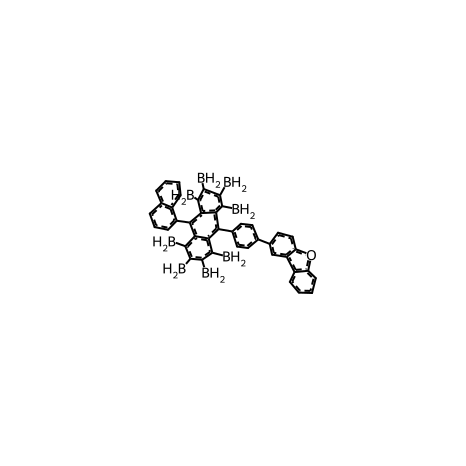 Bc1c(B)c(B)c2c(-c3cccc4ccccc34)c3c(B)c(B)c(B)c(B)c3c(-c3ccc(-c4ccc5oc6ccccc6c5c4)cc3)c2c1B